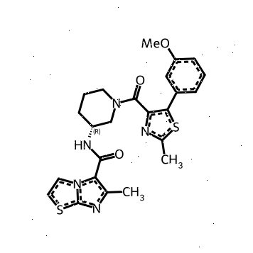 COc1cccc(-c2sc(C)nc2C(=O)N2CCC[C@@H](NC(=O)c3c(C)nc4sccn34)C2)c1